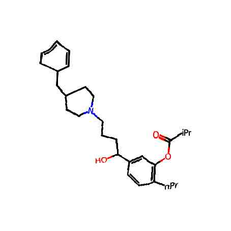 CCCc1ccc(C(O)CCCN2CCC(CC3C=CC=CC3)CC2)cc1OC(=O)C(C)C